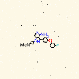 CNC1CC(n2nc(-c3ccc(Oc4cccc(F)c4)cc3)c3c(N)nccc32)C1